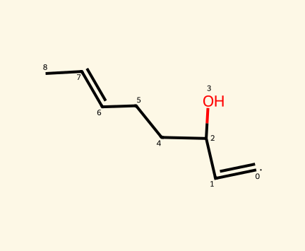 [CH]=CC(O)CCC=CC